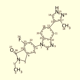 CCN1Cc2cc(-n3cnc4cc(-c5c[nH]nc5C)ccc43)cc(F)c2C1=O